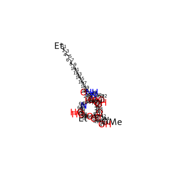 CCC=CCC=CCC=CCC=CCC=CCC=CCCC(=O)N[C@@H](C)C(=O)N(C)[C@H]1C[C@@H](C)O[C@@H](O[C@@H]2[C@@H](C)[C@H](O[C@H]3C[C@@](C)(OC)[C@@H](O)[C@H](C)O3)[C@@H](C)C(=O)O[C@H](CC)[C@@](C)(O)[C@H](O)[C@@H](C)N(C)C[C@H](C)C[C@@]2(C)O)[C@@H]1O